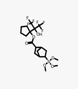 CO[Si](OC)(OC)C1CC2CC1CC2C(=O)OC1(C(O)(C(F)(F)F)C(F)(F)F)CCCC1